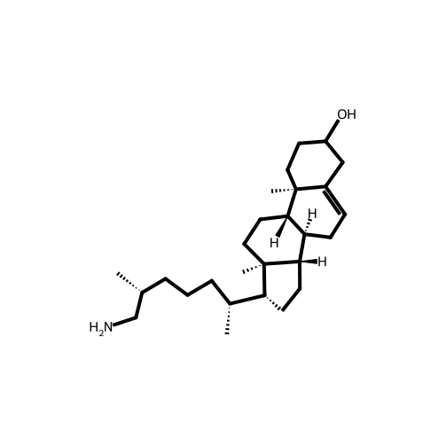 C[C@@H](CN)CCC[C@@H](C)[C@H]1CC[C@H]2[C@@H]3CC=C4CC(O)CC[C@]4(C)[C@H]3CC[C@]12C